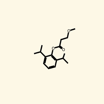 COCCC(=O)Oc1c(C(C)C)cccc1C(C)C